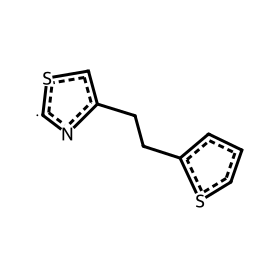 [c]1nc(CCc2cccs2)cs1